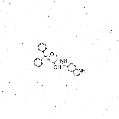 OC1C[C@@H](C(c2ccccc2)c2ccccc2)OCC1NCc1ccc2[nH]ccc2c1